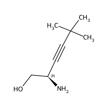 CC(C)(C)C#C[C@@H](N)CO